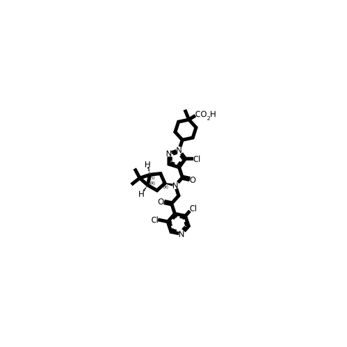 CC1(C(=O)O)CCC(n2ncc(C(=O)N(CC(=O)c3c(Cl)cncc3Cl)[C@H]3C[C@@H]4[C@H](C3)C4(C)C)c2Cl)CC1